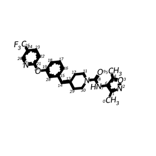 Cc1noc(C)c1NC(=O)N1CCC(=Cc2cccc(Oc3ccc(C(F)(F)F)cn3)c2)CC1